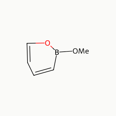 COB1C=CC=CO1